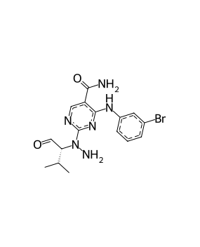 CC(C)[C@H](C=O)N(N)c1ncc(C(N)=O)c(Nc2cccc(Br)c2)n1